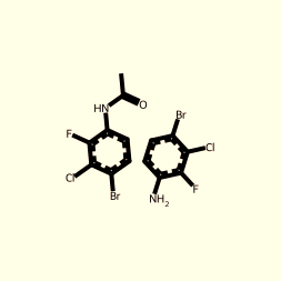 CC(=O)Nc1ccc(Br)c(Cl)c1F.Nc1ccc(Br)c(Cl)c1F